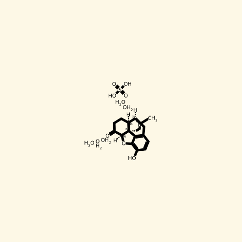 CN1CC[C@]23c4c5ccc(O)c4O[C@H]2C(=O)CC[C@H]3[C@H]1C5.O.O.O.O.O.O=S(=O)(O)O